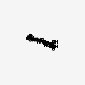 COc1cc(NC(=O)CCN2CCC3(CC2)CC(OC(=O)C(O)(c2cccs2)c2cccs2)C3)c(Cl)cc1CNC[C@H](O)c1cc(O)cc2c1OCC(=O)N2